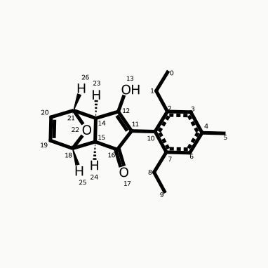 CCc1cc(C)cc(CC)c1C1=C(O)[C@H]2[C@@H](C1=O)[C@@H]1C=C[C@H]2O1